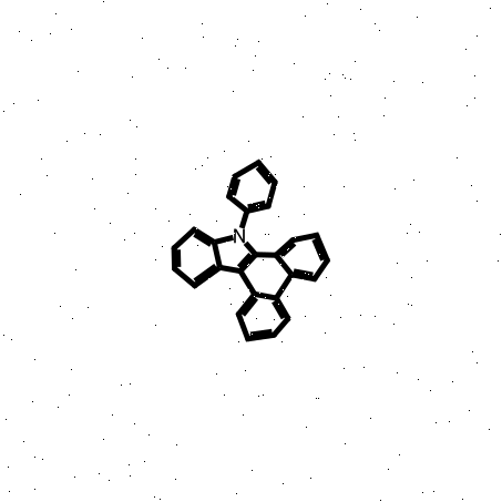 c1ccc(-n2c3ccccc3c3c4ccccc4c4ccccc4c32)cc1